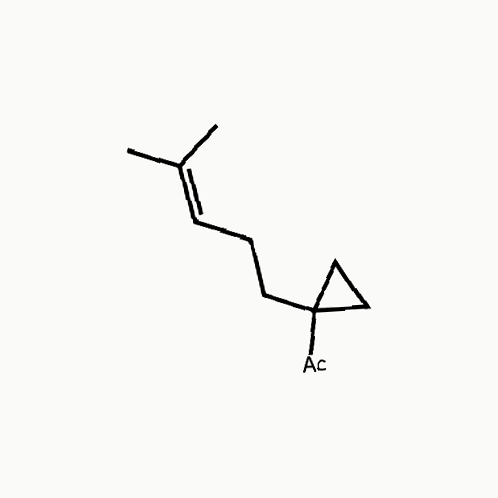 CC(=O)C1(CCC=C(C)C)CC1